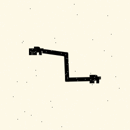 [CH2]CCCCC(C)C